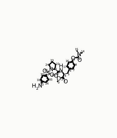 COC(=O)[C@H](Cc1ccc(OC(=O)N(C)C)cc1)NC(=O)[C@@H]1CCCN1S(=O)(=O)c1ccc(N)cc1